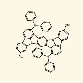 CC(C)(C)c1ccc2c3ccc(N(c4ccccc4)c4ccccc4)c4c5cc6c(cc5n(c2c1)c34)c1c(N(c2ccccc2)c2ccccc2)ccc2c3ccc(C(C)(C)C)cc3n6c21